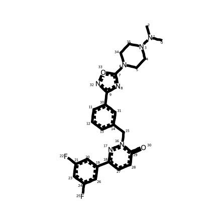 CN(C)N1CCN(c2nc(-c3cccc(Cn4nc(-c5cc(F)cc(F)c5)ccc4=O)c3)no2)CC1